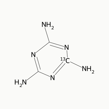 Nc1nc(N)n[13c](N)n1